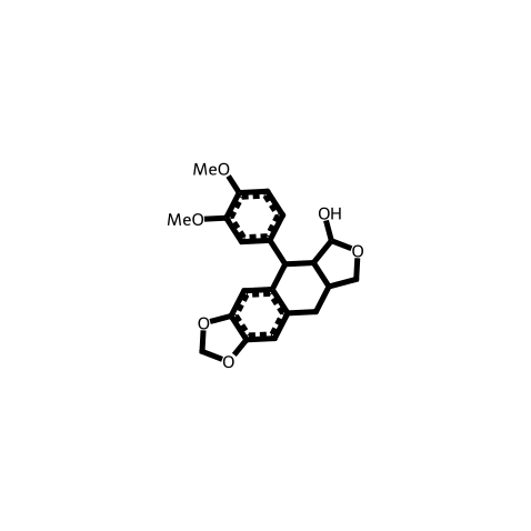 COc1ccc(C2c3cc4c(cc3CC3COC(O)C32)OCO4)cc1OC